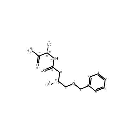 CCC[C@@H](COCc1ccccc1)CC(=O)N[C@@H](CC)C(N)=O